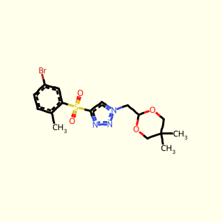 Cc1ccc(Br)cc1S(=O)(=O)c1cn(CC2OCC(C)(C)CO2)nn1